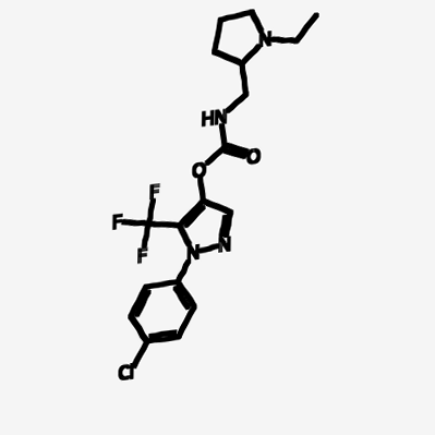 CCN1CCCC1CNC(=O)Oc1cnn(-c2ccc(Cl)cc2)c1C(F)(F)F